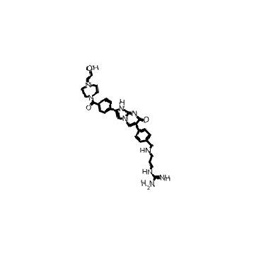 N=C(N)NCCCNCc1ccc(-c2cn3cc(-c4ccc(C(=O)N5CCN(CCO)CC5)cc4)[nH]c3nc2=O)cc1